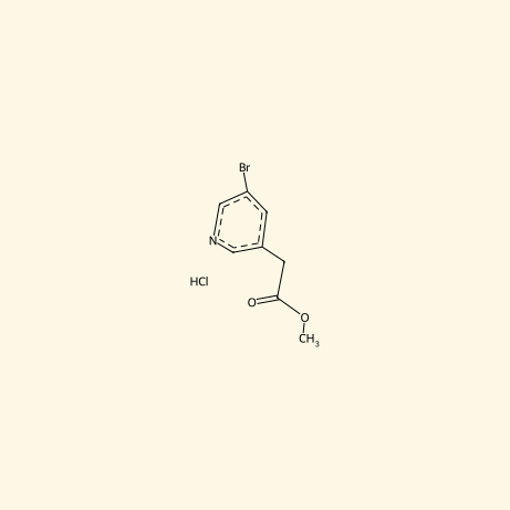 COC(=O)Cc1cncc(Br)c1.Cl